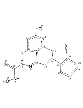 Cc1ccnc2c1/C(=N\NC(=N)NO)CC(c1ccccc1Cl)C2.Cl